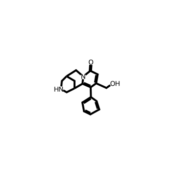 O=c1cc(CO)c(-c2ccccc2)c2n1CC1CNCC2C1